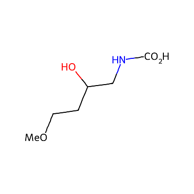 COCCC(O)CNC(=O)O